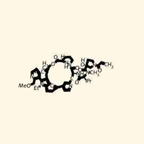 C=CC(=O)N1CC[C@](O)(C(=O)N(C)[C@H](C(=O)N[C@H]2Cc3cc(ccn3)-c3ccc4c(c3)c(c(-c3cccnc3COC)n4CC)CC(C)(C)COC(=O)[C@@H]3CCCN(N3)C2=O)C(C)C)C1